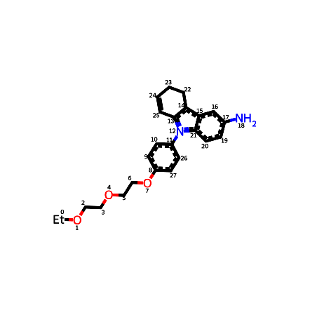 CCOCCOCCOc1ccc(-n2c3c(c4cc(N)ccc42)CCC=C3)cc1